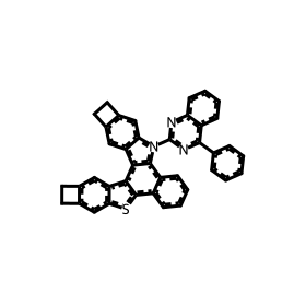 c1ccc(-c2nc(-n3c4cc5c(cc4c4c6c7cc8c(cc7sc6c6ccccc6c43)CC8)CC5)nc3ccccc23)cc1